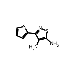 Nc1snc(-c2cccs2)c1N